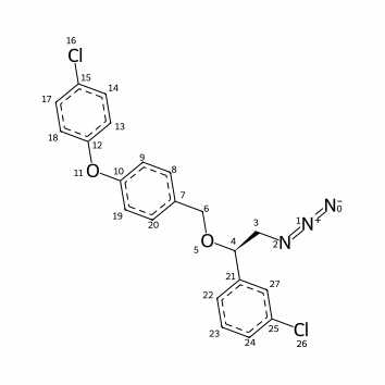 [N-]=[N+]=NC[C@H](OCc1ccc(Oc2ccc(Cl)cc2)cc1)c1cccc(Cl)c1